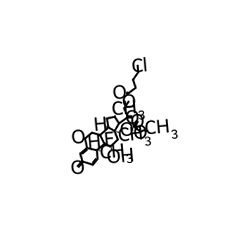 COC(=O)O[C@]1(C(=O)COC(=O)CCCCl)[C@@H](C)C[C@H]2[C@@H]3CC(=O)C4=CC(=O)C=C[C@]4(C)[C@@]3(F)[C@@H](O)C[C@@]21C